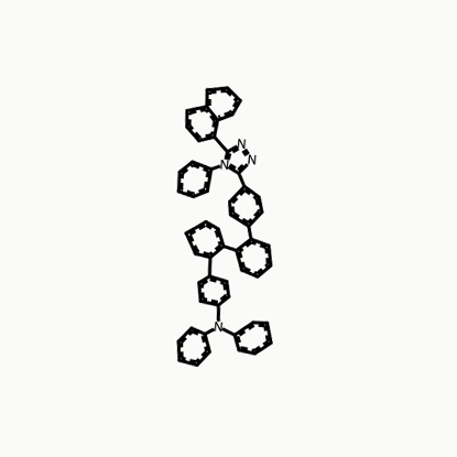 c1ccc(N(c2ccccc2)c2ccc(-c3ccccc3-c3ccccc3-c3ccc(-c4nnc(-c5cccc6ccccc56)n4-c4ccccc4)cc3)cc2)cc1